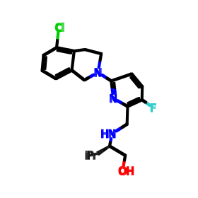 CC(C)[C@H](CO)NCc1nc(N2CCc3c(Cl)cccc3C2)ccc1F